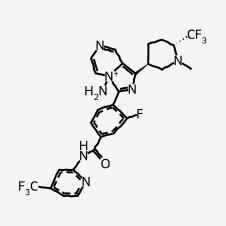 CN1C[C@@H](C2=C3C=NC=C[N+]3(N)C(c3ccc(C(=O)Nc4cc(C(F)(F)F)ccn4)cc3F)=N2)CC[C@@H]1C(F)(F)F